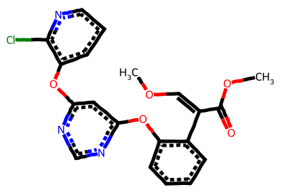 CO/C=C(/C(=O)OC)c1ccccc1Oc1cc(Oc2cccnc2Cl)ncn1